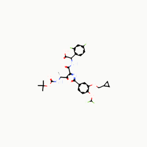 C[C@H](NC(=O)OC(C)(C)C)c1oc(-c2ccc(OC(F)F)c(OCC3CC3)c2)nc1C(=O)NC(C(=O)O)c1ccc(F)cc1F